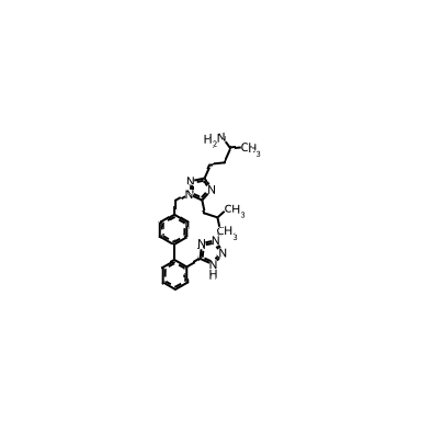 CC(C)Cc1nc(CCC(C)N)nn1Cc1ccc(-c2ccccc2-c2nnn[nH]2)cc1